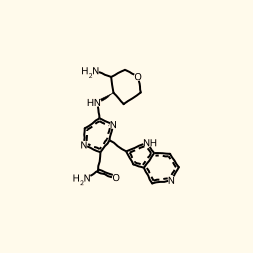 NC(=O)c1ncc(N[C@@H]2CCOCC2N)nc1-c1cc2cnccc2[nH]1